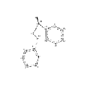 C[C@@H]1C[C@@H](c2ccccc2)c2ccccc21